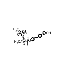 CCOC(=O)C(CSSCC(NC(=O)C[n+]1ccc(/C=C/c2ccc(N3CCC(O)C3)cc2)cc1)C(=O)OCC)NC